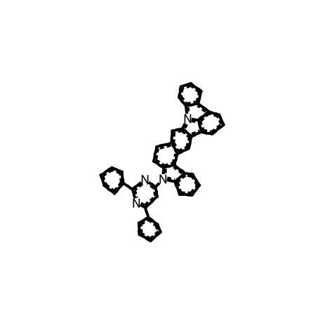 c1ccc(-c2cc(-n3c4ccccc4c4c5cc6c7cccc8c9ccccc9n(c6cc5ccc43)c87)nc(-c3ccccc3)n2)cc1